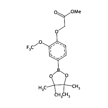 COC(=O)COc1ccc(B2OC(C)(C)C(C)(C)O2)cc1OC(F)(F)F